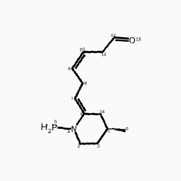 C[C@H]1CCN(P)/C(=C/C/C=C\CC=O)C1